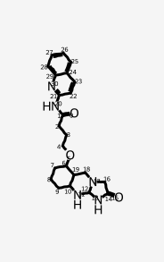 O=C(CCCOC1CCCC2NC3NC(=O)CN3CC21)Nc1ccc2ccccc2n1